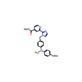 COC(=O)c1ccnc(-c2nccn2Cc2ccc(N(C)c3ccc(OC)cc3)cc2)c1